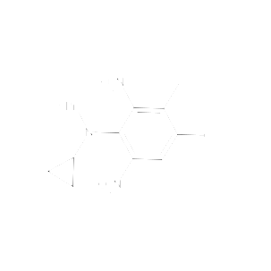 CCCN(c1c([N+](=O)[O-])cc(C(F)(F)F)c(C)c1[N+](=O)[O-])C1CC1